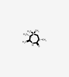 C=C1NC(=O)[C@@H](C)CS(C)(C)[C@H]1C